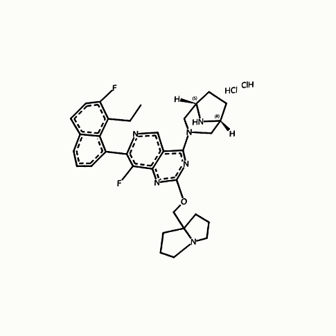 CCc1c(F)ccc2cccc(-c3ncc4c(N5C[C@H]6CC[C@@H](C5)N6)nc(OCC56CCCN5CCC6)nc4c3F)c12.Cl.Cl